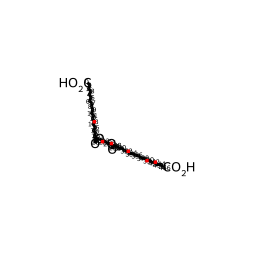 O=C(O)CCCCCCCCCCCCCCCCCCC(=O)OCCCOC(=O)CCCCCCCCCCCCCCCCCCC(=O)O